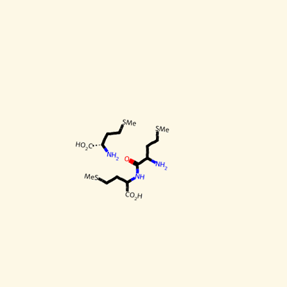 CSCCC(N)C(=O)NC(CCSC)C(=O)O.CSCC[C@H](N)C(=O)O